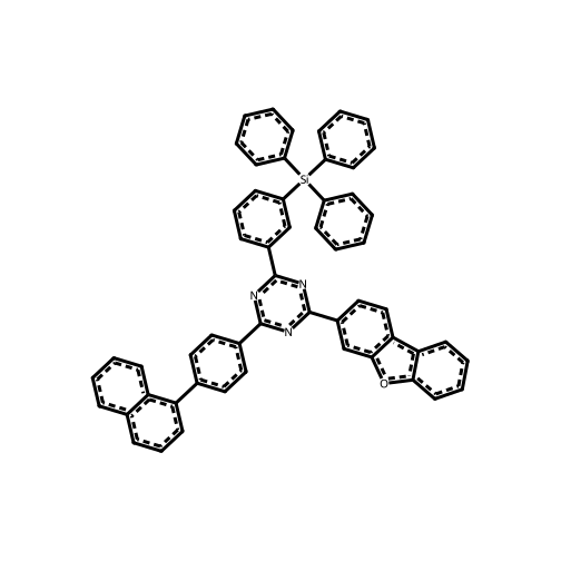 c1ccc([Si](c2ccccc2)(c2ccccc2)c2cccc(-c3nc(-c4ccc(-c5cccc6ccccc56)cc4)nc(-c4ccc5c(c4)oc4ccccc45)n3)c2)cc1